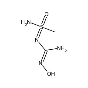 CS(N)(=O)=N/C(N)=N/O